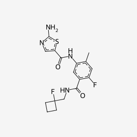 Cc1cc(F)c(C(=O)NCC2(F)CCC2)cc1NC(=O)c1cnc(N)s1